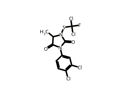 CC1C(=O)N(c2ccc(Cl)c(Cl)c2)C(=O)N1SC(F)(Cl)Cl